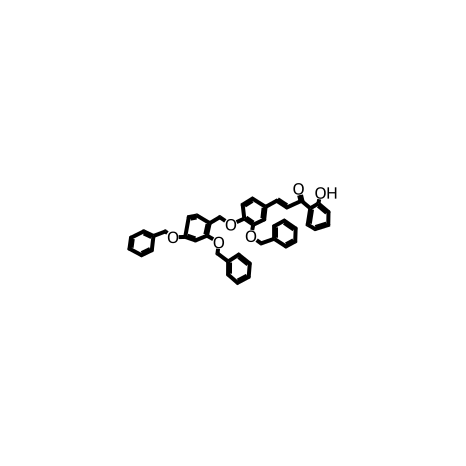 O=C(C=Cc1ccc(OCc2ccc(OCc3ccccc3)cc2OCc2ccccc2)c(OCc2ccccc2)c1)c1ccccc1O